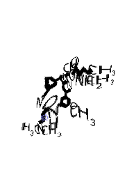 COc1cc(NC(=O)/C=C/CN(C)C)cc(-c2cnc3c(c2)c(-c2cccc(C#N)c2)cn3C(C)OC(=O)[C@@H](N)CC(C)C)c1